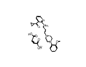 COc1ccccc1N1CCN(CCCNc2ncccc2C(=O)C2CC2)CC1.O=C(O)/C=C\C(=O)O